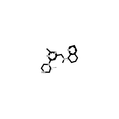 Cc1nc(CN(C)[C@H]2CCCc3cccnc32)cc(N2CCNC[C@H]2C)n1